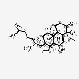 CC(C)CCC[C@@H](C)[C@H]1CC[C@H]2[C@@H]3[C@@H](O)C=C4C(C)(C)[C@H](O)CC[C@]4(C)[C@H]3CC[C@]12C